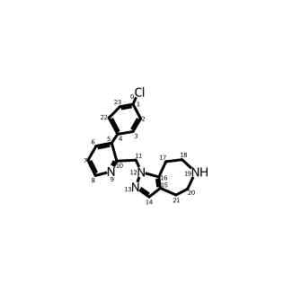 Clc1ccc(-c2cccnc2Cn2ncc3c2CCNCC3)cc1